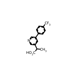 CC(C(=O)O)c1cncc(-c2ccc(C(F)(F)F)cc2)c1